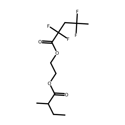 CCC(C)C(=O)OCCOC(=O)C(F)(F)CC(C)(F)F